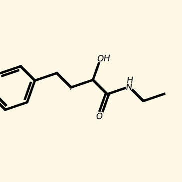 CCNC(=O)C(O)[CH]Cc1ccccc1